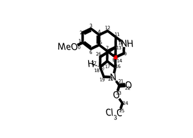 COc1ccc2c(c1)C13CCNC(C2)C12CCC1C3[C@@H](CN1C(=O)OCC(Cl)(Cl)Cl)C2